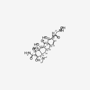 CN(C)[C@@H]1C(O)=C(C(N)=O)C(=O)[C@@]2(O)C(O)=C3C(=O)c4c(ccc(NC(=O)CNO)c4O)CC3CC12